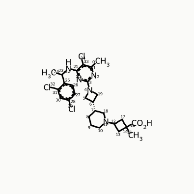 Cc1nc(N2CC([C@H]3CCCN(C4CC(C)(C(=O)O)C4)C3)C2)nc(NC(C)c2ccc(Cl)cc2Cl)c1Cl